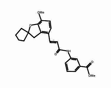 COC(=O)c1cccc(NC(=O)/C=C/c2ccc(OC)c3c2CC2(CCCC2)O3)c1